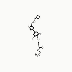 CCOC(=O)CCCOc1c(F)cc(-c2csc(COCC3CCC3)c2)cc1F